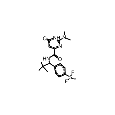 CN(C)c1nc(C(=O)N[C@@H](c2ccc(S(F)(F)F)cc2)C(C)(C)C)cc(=O)[nH]1